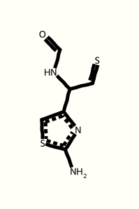 Nc1nc(C(C=S)NC=O)cs1